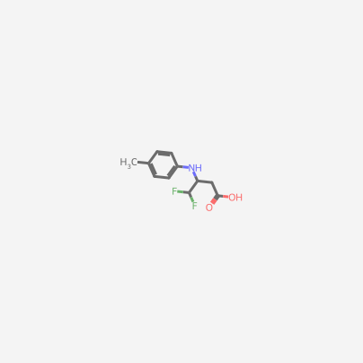 Cc1ccc(NC(CC(=O)O)C(F)F)cc1